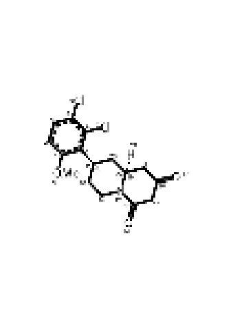 COc1ccc(Cl)c(Cl)c1[C@@H]1CCN2C(=O)CC(=O)C[C@@H]2C1